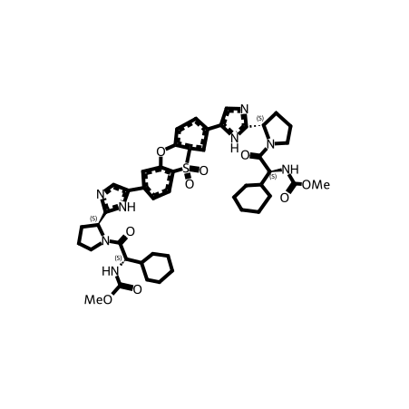 COC(=O)N[C@H](C(=O)N1CCC[C@H]1c1ncc(-c2ccc3c(c2)Oc2ccc(-c4cnc([C@@H]5CCCN5C(=O)[C@@H](NC(=O)OC)C5CCCCC5)[nH]4)cc2S3(=O)=O)[nH]1)C1CCCCC1